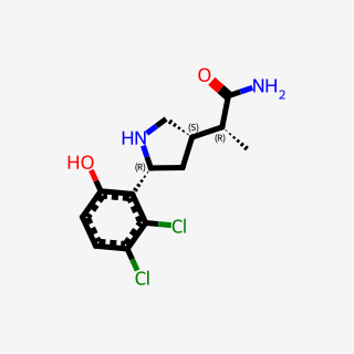 C[C@@H](C(N)=O)[C@H]1CN[C@@H](c2c(O)ccc(Cl)c2Cl)C1